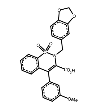 COc1cccc(C2=C(C(=O)O)N(Cc3ccc4c(c3)OCO4)S(=O)(=O)c3ccccc32)c1